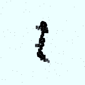 Cc1nc2cc(OC[C@H](O)CN3CCN(CCCNS(=O)(=O)c4ccccc4C(F)(F)F)CC3)ccc2s1